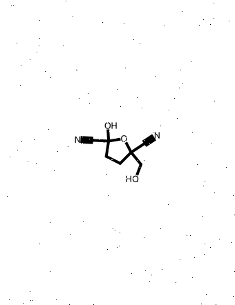 N#CC1(O)CCC(C#N)(CO)O1